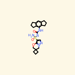 N[S@](=O)(=NC(=O)Nc1c2c(cc3c1CCC3)CCC2)c1cnn2c1OCC1(CCC1)C2